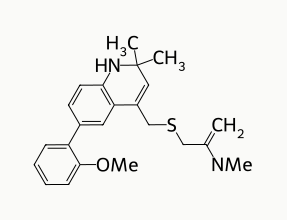 C=C(CSCC1=CC(C)(C)Nc2ccc(-c3ccccc3OC)cc21)NC